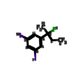 FC(F)(F)CC(F)(c1cc(I)[c]c(I)c1)C(F)(F)F